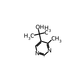 Cc1n[c]ncc1C(C)(C)O